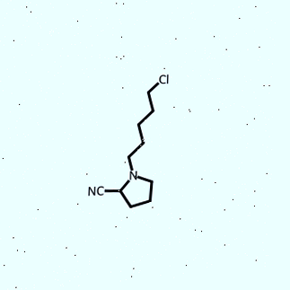 N#CC1CCCN1CCCCCCl